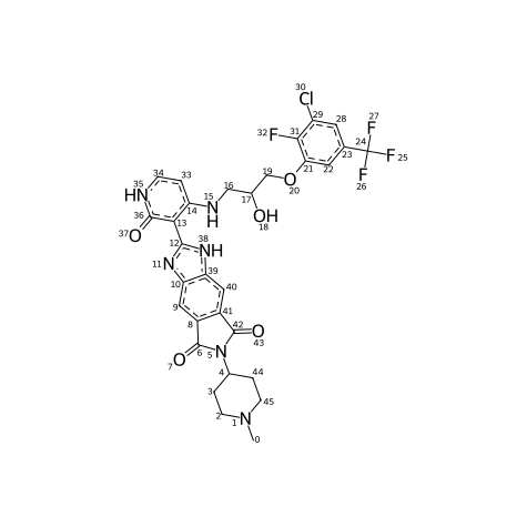 CN1CCC(N2C(=O)c3cc4nc(-c5c(NCC(O)COc6cc(C(F)(F)F)cc(Cl)c6F)cc[nH]c5=O)[nH]c4cc3C2=O)CC1